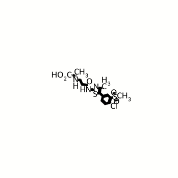 Cc1nc(NC(=O)CCN[C@@H](C)C(=O)O)sc1-c1ccc(Cl)c(S(C)(=O)=O)c1